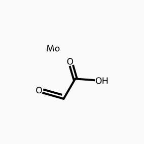 O=CC(=O)O.[Mo]